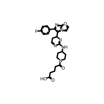 O=C(O)CCCC(=O)N1CCC(NC2=NC(c3c(-c4ccc(F)cc4)nc4occn34)CC=N2)CC1